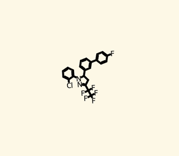 Fc1ccc(-c2cccc(C3CC(C(F)(F)C(F)(F)F)=NN3c3ccccc3Cl)c2)cc1